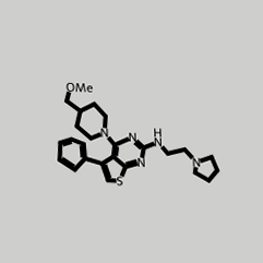 COCC1CCN(c2nc(NCCN3CCCC3)nc3scc(-c4ccccc4)c23)CC1